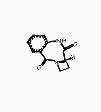 O=C1Nc2ccccc2C(=O)N2CC[C@@H]12